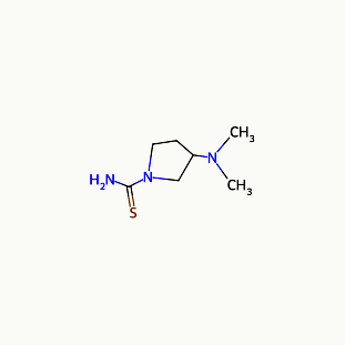 CN(C)C1CCN(C(N)=S)C1